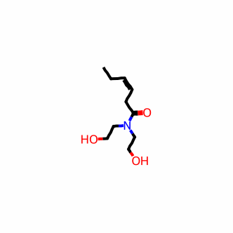 CC/C=C\CC(=O)N(CCO)CCO